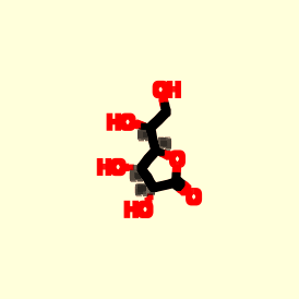 O=C1O[C@H]([C@@H](O)CO)[C@@H](O)[C@H]1O